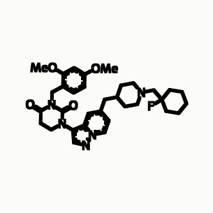 COc1ccc(CN2C(=O)CCN(c3cnn4ccc(CC5CCN(CC6(F)CCCCC6)CC5)cc34)C2=O)c(OC)c1